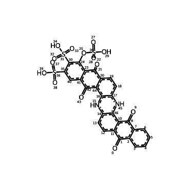 O=c1c2ccccc2c(=O)c2c1ccc1[nH]c3c(ccc4c(=O)c5c(OS(=O)(=O)O)c(S(=O)(=O)O)c(S(=O)(=O)O)cc5c(=O)c43)[nH]c12